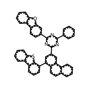 c1ccc(-c2nc(-c3ccc4c(c3)oc3ccccc34)nc(-c3cc(-c4cccc5c4sc4ccccc45)c4ccc5ccccc5c4c3)n2)cc1